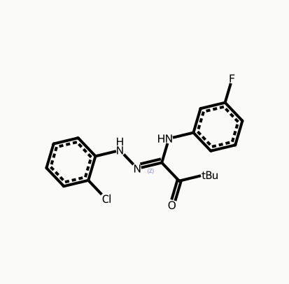 CC(C)(C)C(=O)/C(=N/Nc1ccccc1Cl)Nc1cccc(F)c1